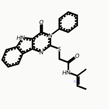 C/C=C(\C)NC(=O)CSc1nc2c([nH]c3ccccc32)c(=O)n1-c1ccccc1